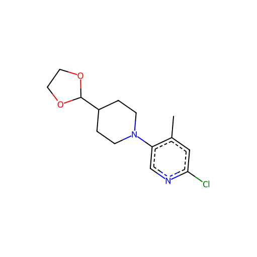 Cc1cc(Cl)ncc1N1CCC(C2OCCO2)CC1